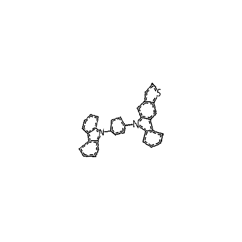 c1ccc2c(c1)c1ccccc1n2-c1ccc(-n2c3ccccc3c3cc4sccc4cc32)cc1